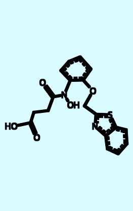 O=C(O)CCC(=O)N(O)c1ccccc1OCc1nc2ccccc2s1